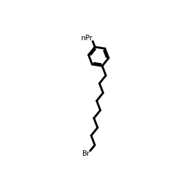 CCCc1ccc(CCCCCCCCCBr)cc1